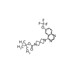 CC(C)(C)OC(=O)N1CC2(C1)CN(c1ncnc3ccc(OC(F)(F)F)cc13)C2